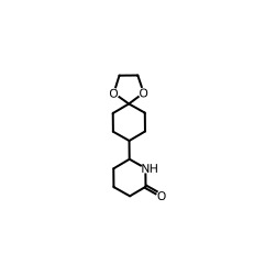 O=C1CCCC(C2CCC3(CC2)OCCO3)N1